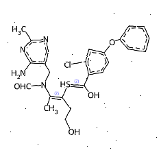 C/C(=C(CCO)/[SH]=C(\O)c1ccc(Oc2ccccc2)cc1Cl)N(C=O)Cc1cnc(C)nc1N